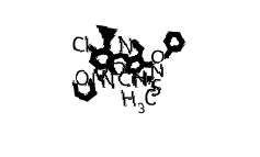 CSc1nc(OCc2ccccc2)c2c(n1)C(C)(O)c1c-2ccnc1-c1c(C2CC2)c(Cl)cc2c1cnn2C1CCCCO1